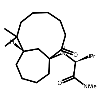 CNC(=O)[C@@H](NC12CCCC[C@@H](C1)C(C)(C)CCCCCC2=O)C(C)C